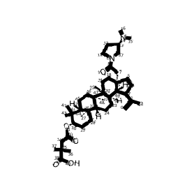 C=C(C)C1CC[C@]2(CC(=O)N3CC[C@@H](N(C)C)C3)CC[C@]3(C)[C@H](CC[C@@H]4[C@@]5(C)CC[C@H](OC(=O)CC(C)(C)C(=O)O)C(C)(C)[C@@H]5CC[C@]43C)[C@@H]12